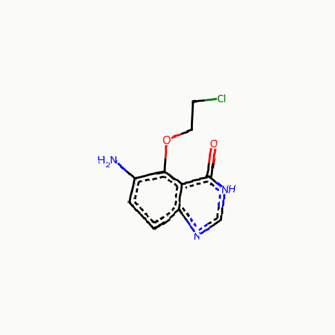 Nc1ccc2nc[nH]c(=O)c2c1OCCCl